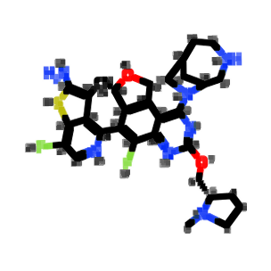 CN1CCC[C@H]1COc1nc(N2CC3CCNCC2C3)c2c3c(c(-c4ncc(F)c5sc(N)c(C#N)c45)c(F)c2n1)COC3